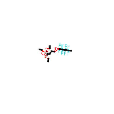 CCO[Si](CCCOC(F)(F)C(F)(F)C(F)(F)C(C)(F)F)(OCC)OCC